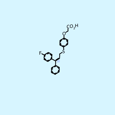 O=C(O)COc1ccc(SC/C=C(/c2ccccc2)c2ccc(F)cc2)cc1